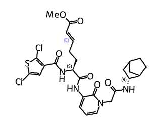 COC(=O)/C=C/CC[C@H](NC(=O)c1cc(Cl)sc1Cl)C(=O)Nc1cccn(CC(=O)N[C@@H]2CC3CCC2C3)c1=O